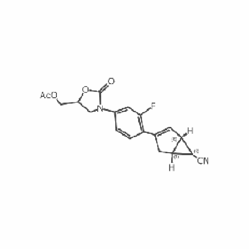 CC(=O)OCC1CN(c2ccc(C3=C[C@@H]4[C@@H](C#N)[C@@H]4C3)c(F)c2)C(=O)O1